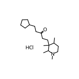 CC1CCN(C)C(C)C1(C)CCC(=O)CCC1CCCC1.Cl